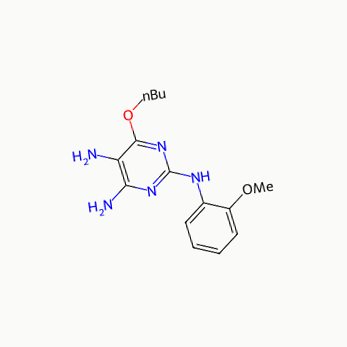 CCCCOc1nc(Nc2ccccc2OC)nc(N)c1N